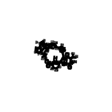 CO[C@@H](C)c1ncccc1-c1[nH]c2ccc3cc2c1CC(C)(C)COC(=O)[C@@H]1CCCN(N1)C(=O)[C@@H](NC(=O)C(C(C)C)N(C)C=O)Cc1nc-3cs1